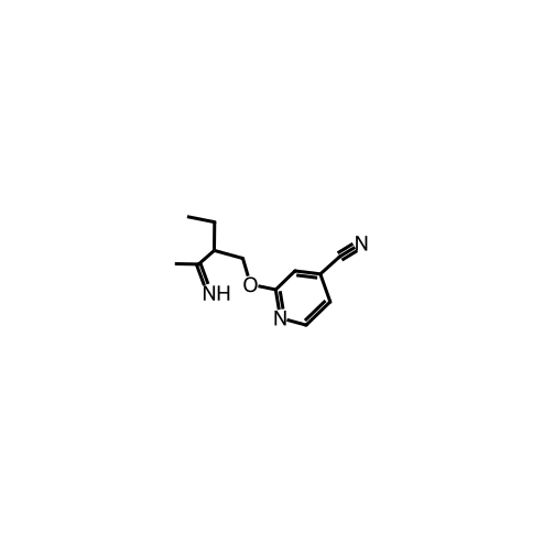 CCC(COc1cc(C#N)ccn1)C(C)=N